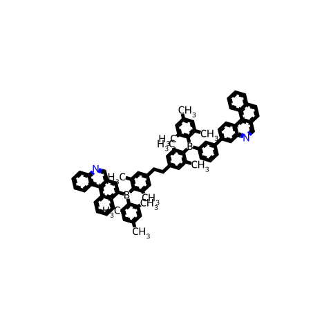 Cc1cc(C)c(B(c2cccc(-c3ccc4c(c3)ncc3ccc5ccccc5c34)c2)c2c(C)cc(CCc3cc(C)c(B(c4c(C)cc(C)cc4C)c4cc5cnc6ccccc6c5c5ccccc45)c(C)c3)cc2C)c(C)c1